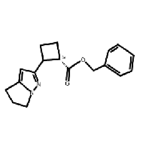 O=C(OCc1ccccc1)[C@H]1CCC1c1cc2n(n1)CCC2